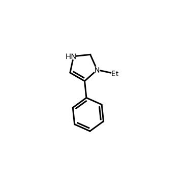 CCN1CNC=C1c1ccccc1